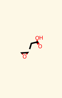 C1CO1.CCC(=O)O